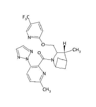 Cc1ccc(-n2nccn2)c(C(=O)N2C3CC(C3)[C@@H](C)C2COc2ccc(C(F)(F)F)cn2)n1